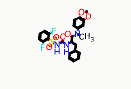 CN(C(=O)C(Cc1ccccc1)NC(=O)NS(=O)(=O)c1c(F)cccc1F)c1ccc2c(c1)OCO2